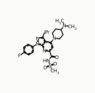 CC(C)c1nn(-c2ccc(F)cc2)c2nc(C(=O)NS(C)(=O)=O)cc(N3CCC(N(C)C)CC3)c12